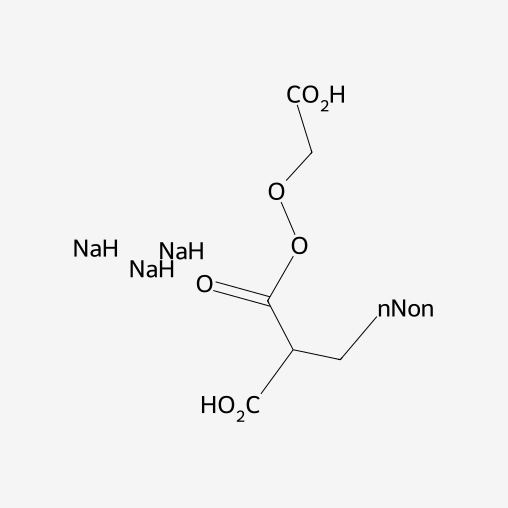 CCCCCCCCCCC(C(=O)O)C(=O)OOCC(=O)O.[NaH].[NaH].[NaH]